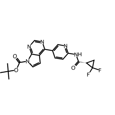 CC(C)(C)OC(=O)n1ccc2c(-c3ccc(NC(=O)[C@@H]4CC4(F)F)nc3)ncnc21